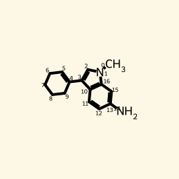 Cn1cc(C2=CCCCC2)c2ccc(N)cc21